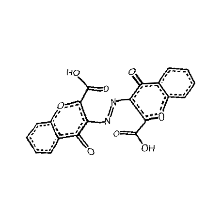 O=C(O)c1oc2ccccc2c(=O)c1/N=N/c1c(C(=O)O)oc2ccccc2c1=O